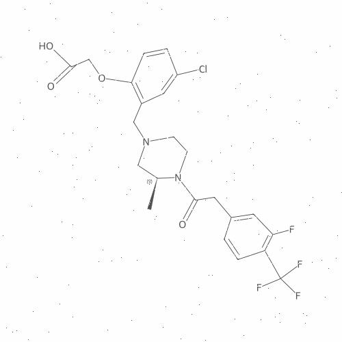 C[C@H]1CN(Cc2cc(Cl)ccc2OCC(=O)O)CCN1C(=O)Cc1ccc(C(F)(F)F)c(F)c1